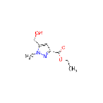 CCOC(=O)c1cc(CO)n(C)n1